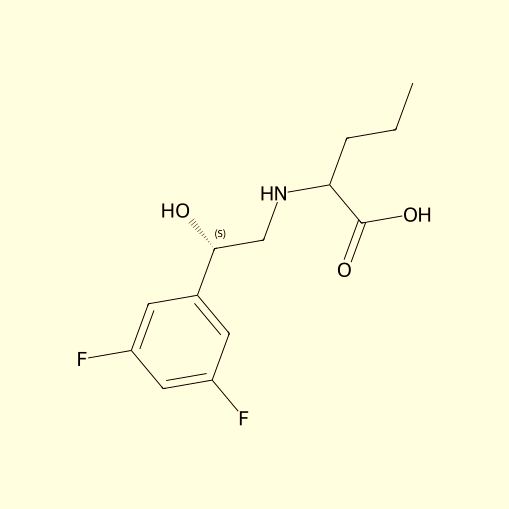 CCCC(NC[C@@H](O)c1cc(F)cc(F)c1)C(=O)O